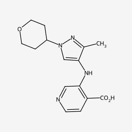 Cc1nn(C2CCOCC2)cc1Nc1cnccc1C(=O)O